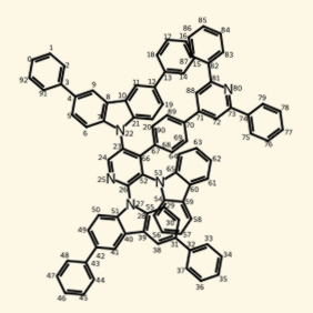 c1ccc(-c2ccc3c(c2)c2cc(-c4ccccc4)ccc2n3-c2cnc(-n3c4ccc(-c5ccccc5)cc4c4cc(-c5ccccc5)ccc43)c(-n3c4ccccc4c4ccccc43)c2-c2ccc(-c3cc(-c4ccccc4)nc(-c4ccccc4)c3)cc2)cc1